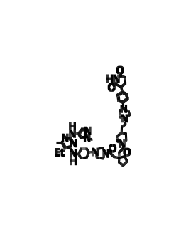 CCc1c(C)nc(Nc2cnn(C)c2)nc1NC1CCC(N2CCN(C(=O)CC3(CC(=O)N4CCC(CCN5CCN(c6ccc(C7CCC(=O)NC7=O)cc6)CC5)CC4)CCCC3)CC2)CC1